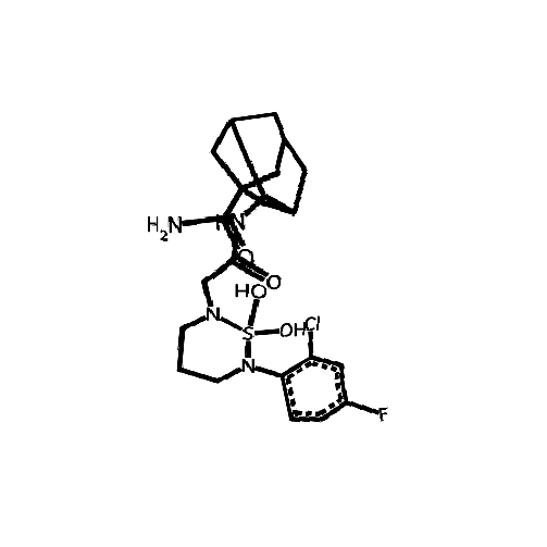 NC(=O)C12CC3CC(C1)C(NC(=O)CN1CCCN(c4ccc(F)cc4Cl)S1(O)O)C(C3)C2